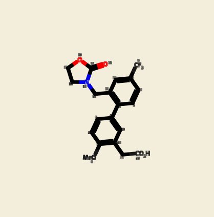 COc1ccc(-c2ccc(C(F)(F)F)cc2CN2CCOC2=O)cc1CC(=O)O